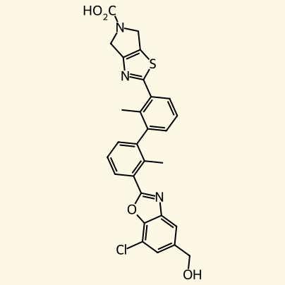 Cc1c(-c2nc3cc(CO)cc(Cl)c3o2)cccc1-c1cccc(-c2nc3c(s2)CN(C(=O)O)C3)c1C